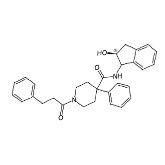 O=C(CCc1ccccc1)N1CCC(C(=O)NC2c3ccccc3C[C@@H]2O)(c2ccccc2)CC1